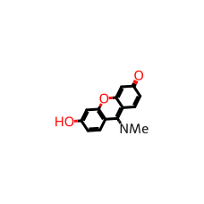 CNc1c2ccc(=O)cc-2oc2cc(O)ccc12